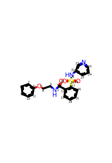 O=C(NCCOc1ccccc1)c1ccccc1S(=O)(=O)Nc1cccnc1